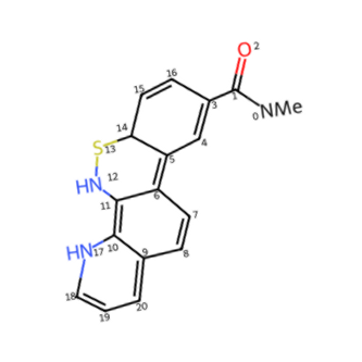 CNC(=O)C1=CC2=c3ccc4c(c3NSC2C=C1)NC=CC=4